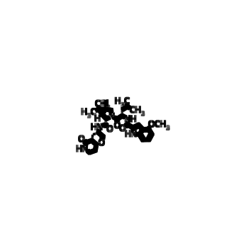 COc1cccc2[nH]c(C(=O)N[C@@H](CC(C)C)C(=O)N3C[C@H]4[C@@H]([C@H]3C(=O)N[C@H](C=O)C[C@@H]3CCCNC3=O)C4(C)C)cc12